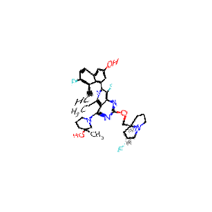 C#Cc1c(F)ccc2cc(O)cc(-c3nc(C)c4c(N5CCCC(C)(O)C5)nc(OC[C@@]56CCCN5C[C@H](F)C6)nc4c3F)c12